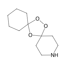 C1CCC2(CC1)OOC1(CCNCC1)O2